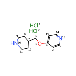 Cl.Cl.c1cc(OCC2CCNCC2)ccn1